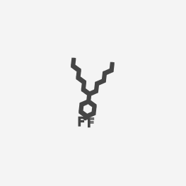 CCCCCCC(CCCCCC)C1CCC(F)(F)CC1